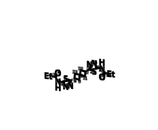 CCC(=O)Nc1nnc([C@H]2CC3(C[C@H](c4nnc(NC(=O)CC)s4)C3)C2)s1